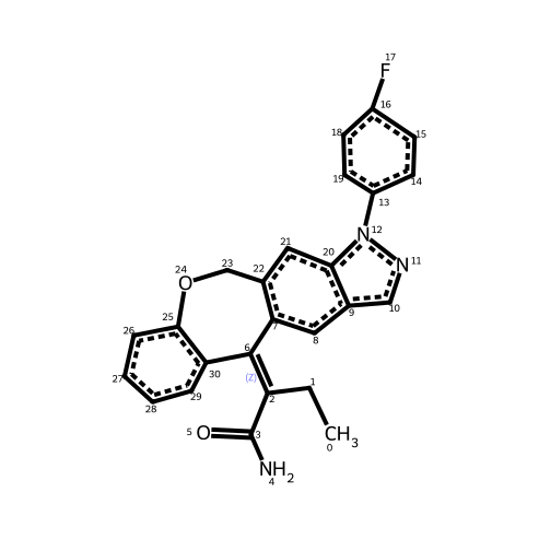 CC/C(C(N)=O)=C1\c2cc3cnn(-c4ccc(F)cc4)c3cc2COc2ccccc21